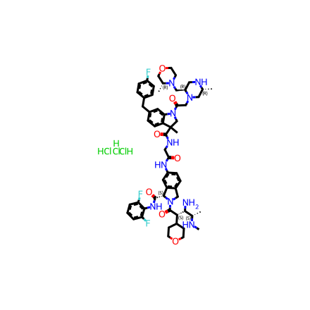 CN[C@@H](C)C(N)[C@@H](C(=O)N1Cc2ccc(NC(=O)CNC(=O)C3(C)CN(C(=O)CN4C[C@@H](C)NC[C@@H]4CN4CCOC[C@H]4C)c4cc(Cc5ccc(F)cc5)ccc43)cc2[C@H]1C(=O)Nc1c(F)cccc1F)C1CCOCC1.Cl.Cl.Cl